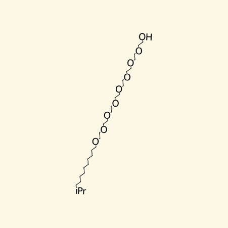 CC(C)CCCCCCCCCCOCCOCCOCCOCCOCCOCCOCCOCCO